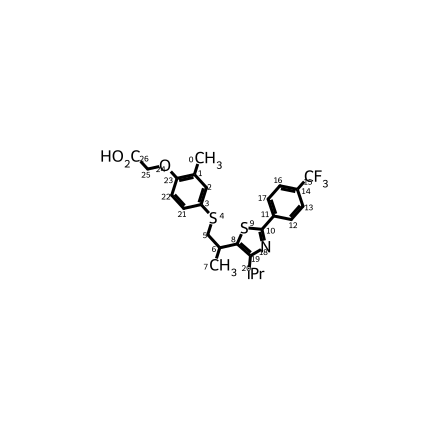 Cc1cc(SCC(C)c2sc(-c3ccc(C(F)(F)F)cc3)nc2C(C)C)ccc1OCC(=O)O